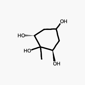 CC1(O)[C@H](O)CC(O)C[C@H]1O